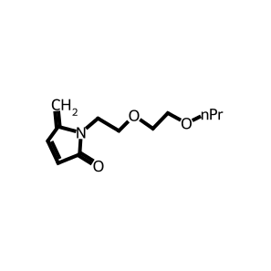 C=C1C=CC(=O)N1CCOCCOCCC